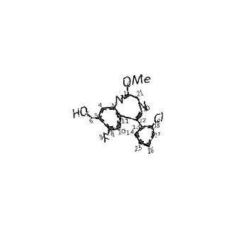 COC1=Nc2cc(CO)c(F)cc2C(c2ccccc2Cl)=NC1